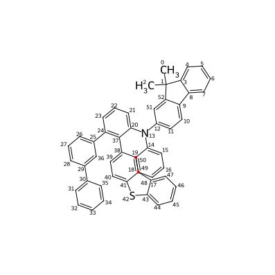 CC1(C)c2ccccc2-c2ccc(N(c3ccccc3)c3cccc(-c4cccc(-c5ccccc5)c4)c3-c3ccc4sc5ccccc5c4c3)cc21